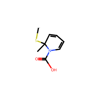 [CH2]SC1(C)C=CC=CN1C(=O)O